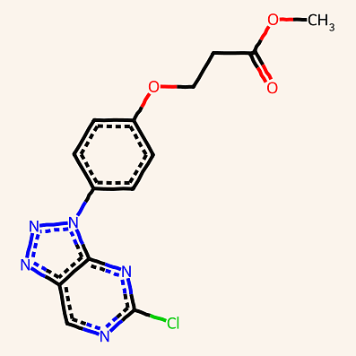 COC(=O)CCOc1ccc(-n2nnc3cnc(Cl)nc32)cc1